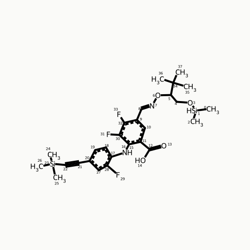 C[SiH](C)OCC(ON=Cc1cc(C(=O)O)c(Nc2ccc(C#C[Si](C)(C)C)cc2F)c(F)c1F)C(C)(C)C